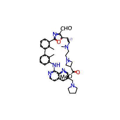 COC(=O)C1CN(CCN(C)/C=C\c2oc(-c3cccc(-c4cccc(Nc5nccc6cc(CN7CCCC7)cnc56)c4C)c3C)nc2C=O)C1